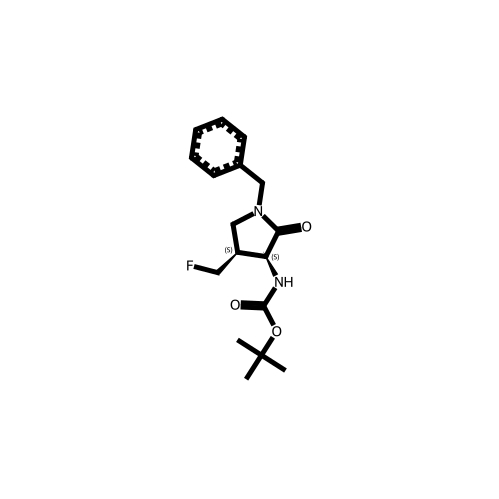 CC(C)(C)OC(=O)N[C@@H]1C(=O)N(Cc2ccccc2)C[C@@H]1CF